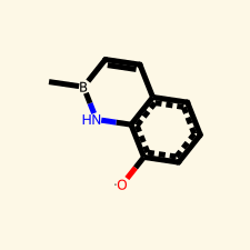 CB1C=Cc2cccc([O])c2N1